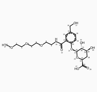 NOCCOCCOCCNC(=O)c1cc(CO)ccc1O[C@@H]1O[C@H](C(=O)O)C[C@H](O)[C@H]1O